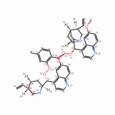 C=C[C@H]1CN2CC[C@H]1C[C@H]2[C@H](OOCc1ccc(C)cc1OO[C@H](c1ccnc2ccc(OC)cc12)[C@@H]1C[C@@H]2CCN1C[C@@H]2C=C)c1ccnc2ccc(OC)cc12